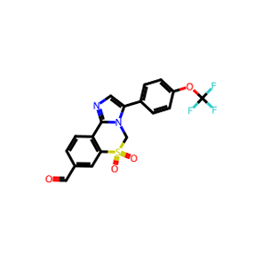 O=Cc1ccc2c(c1)S(=O)(=O)Cn1c(-c3ccc(OC(F)(F)F)cc3)cnc1-2